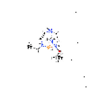 CC(C)CN1C=CN2CCN(CC(C)C)P1N(CC(C)C)CC2